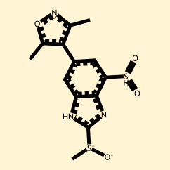 Cc1noc(C)c1-c1cc([SH](=O)=O)c2nc([S+](C)[O-])[nH]c2c1